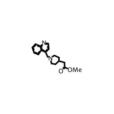 COC(=O)CC1CCN(Cc2ccnc3ccccc23)CC1